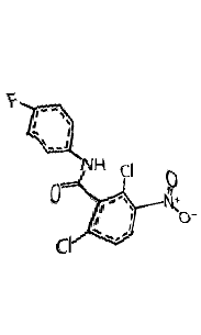 O=C(Nc1ccc(F)cc1)c1c(Cl)ccc([N+](=O)[O-])c1Cl